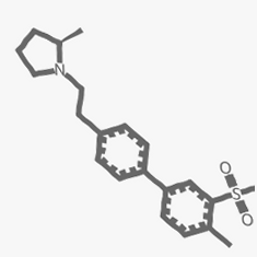 Cc1ccc(-c2ccc(CCN3CCC[C@H]3C)cc2)cc1S(C)(=O)=O